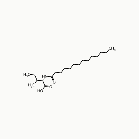 CCCCCCCCCCCCCC(=O)N[C@H](C(=O)O)C(C)CC